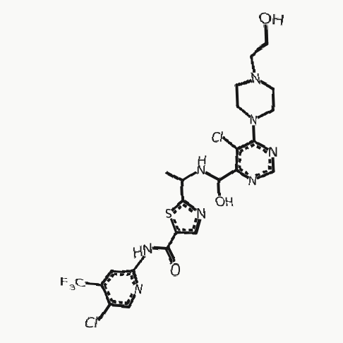 CC(NC(O)c1ncnc(N2CCN(CCO)CC2)c1Cl)c1ncc(C(=O)Nc2cc(C(F)(F)F)c(Cl)cn2)s1